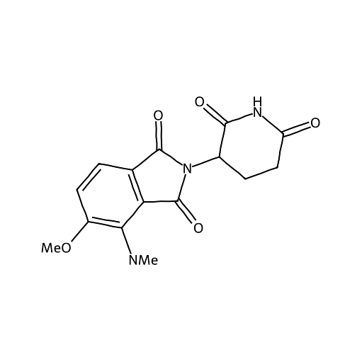 CNc1c(OC)ccc2c1C(=O)N(C1CCC(=O)NC1=O)C2=O